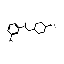 CC(=O)c1cccc(NCC2CCC(N)CC2)c1